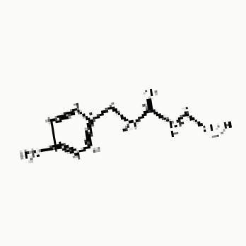 Nc1ccc(COC(=O)NCC(=O)O)cc1